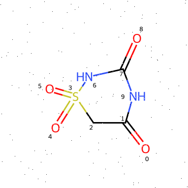 O=C1CS(=O)(=O)NC(=O)N1